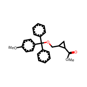 COC(=O)C1CC1COC(c1ccccc1)(c1ccccc1)c1ccc(OC)cc1